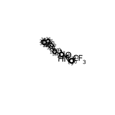 Cc1cc(C(=O)Nc2cccc(C(F)(F)F)c2)ccc1C1CCC(N2CCC3(C=Cc4ccccc43)[C@@H](C)C2)C1